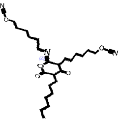 CCCCCCCC1C(=O)O/C(=N\CCCCCCOC#N)C(CCCCCCOC#N)C1=O